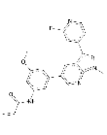 C=CC(=O)Nc1cc(OC)cc(-c2cnc3c(c2)c(-c2ccnc(F)c2)cn3C)c1